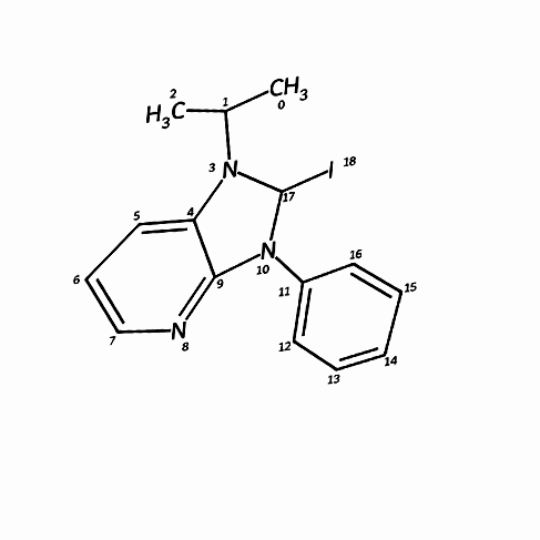 CC(C)N1c2cccnc2N(c2ccccc2)C1I